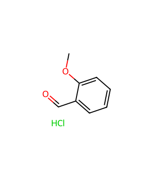 COc1ccccc1C=O.Cl